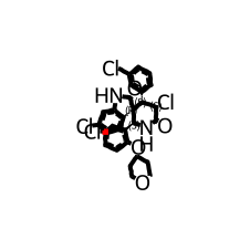 O=C1N[C@@H](c2cc(Cl)ccc2OC2CCOCC2)[C@@]2(C(=O)Nc3cc(Cl)ccc32)[C@H](c2cccc(Cl)c2)[C@@H]1Cl